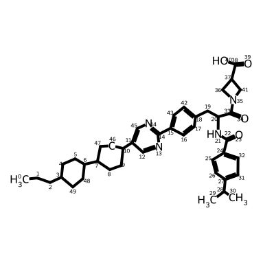 CCCC1CCC(C2CCC(c3cnc(-c4ccc(CC(NC(=O)c5ccc(C(C)C)cc5)C(=O)N5CC(C(=O)O)C5)cc4)nc3)CC2)CC1